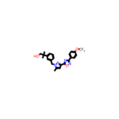 Cc1cc(-c2nc(-c3ccc(OC(F)(F)F)cc3)no2)nn1Cc1cccc(C(C)(C)CO)c1